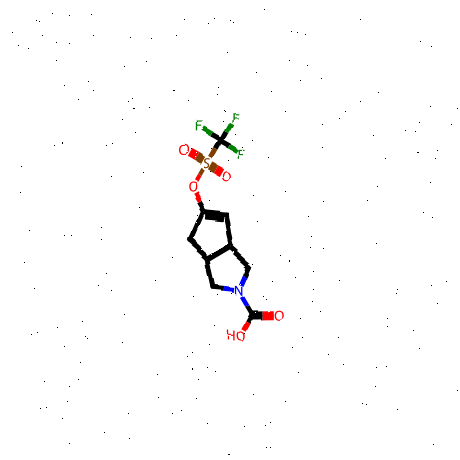 O=C(O)N1CC2C=C(OS(=O)(=O)C(F)(F)F)CC2C1